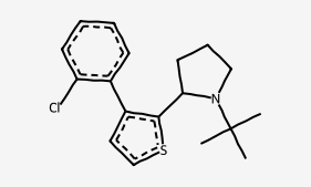 CC(C)(C)N1CCCC1c1sccc1-c1ccccc1Cl